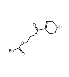 CC(C)(C)C(=O)OCCOC(=O)C1=CCNCC1